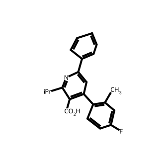 Cc1cc(F)ccc1-c1cc(-c2ccccc2)nc(C(C)C)c1C(=O)O